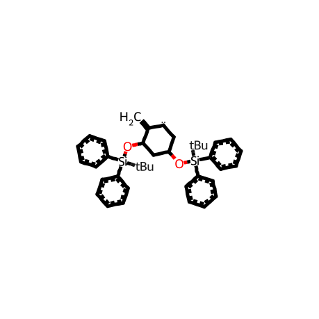 C=C1[C]CC(O[Si](c2ccccc2)(c2ccccc2)C(C)(C)C)CC1O[Si](c1ccccc1)(c1ccccc1)C(C)(C)C